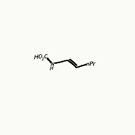 CCCC=CNC(=O)O